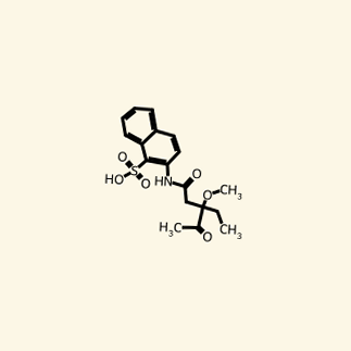 CCC(CC(=O)Nc1ccc2ccccc2c1S(=O)(=O)O)(OC)C(C)=O